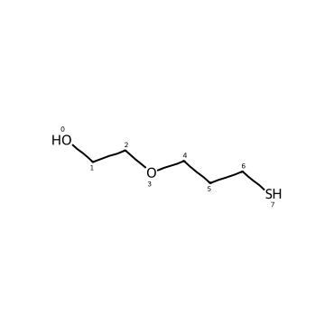 OCCOCCCS